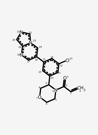 C=CC(=O)N1CCOCC1c1cc(Cl)cc(-c2cnc3cncn3c2)c1